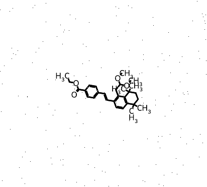 CCOC(=O)c1ccc(C=Cc2ccc3c(c2CC(OC)OC)C(C)(C)CCC3(C)C)cc1